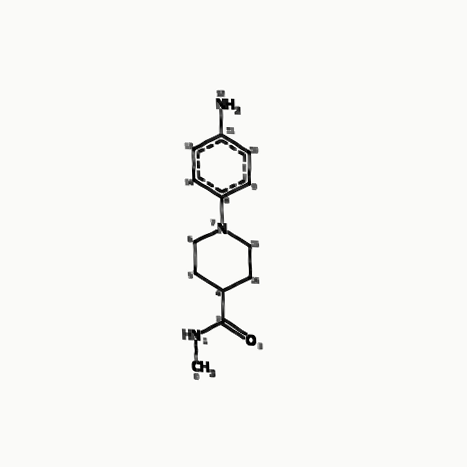 CNC(=O)C1CCN(c2ccc(N)cc2)CC1